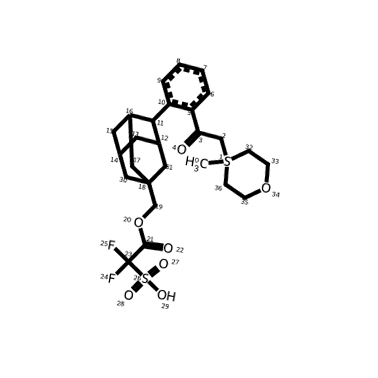 CS1(CC(=O)c2ccccc2C2C3CC4CC2CC(COC(=O)C(F)(F)S(=O)(=O)O)(C4)C3)CCOCC1